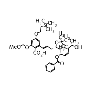 COCOc1cc(OCC[Si](C)(C)C)cc(/C=C/C[C@@H]2OC(C)(C)O[C@@H]2C(/C=C\[C@@H](C)[C@H](C)O)OC(=O)c2ccccc2)c1C(=O)O